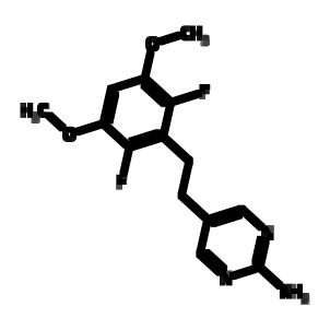 COc1cc(OC)c(F)c(CCc2cnc(N)nc2)c1F